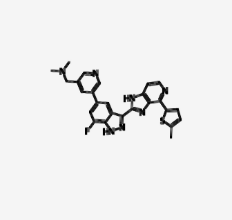 Cc1ccc(-c2nccc3[nH]c(-c4n[nH]c5c(F)cc(-c6cncc(CN(C)C)c6)cc45)nc23)s1